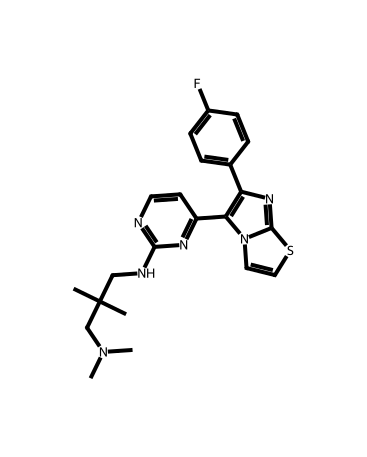 CN(C)CC(C)(C)CNc1nccc(-c2c(-c3ccc(F)cc3)nc3sccn23)n1